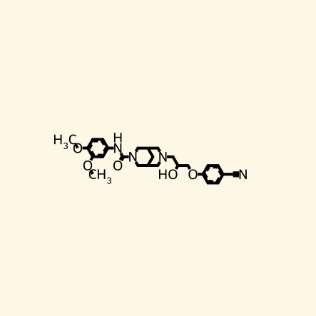 COc1ccc(NC(=O)N2CC3CC(CN(CC(O)COc4ccc(C#N)cc4)C3)C2)cc1OC